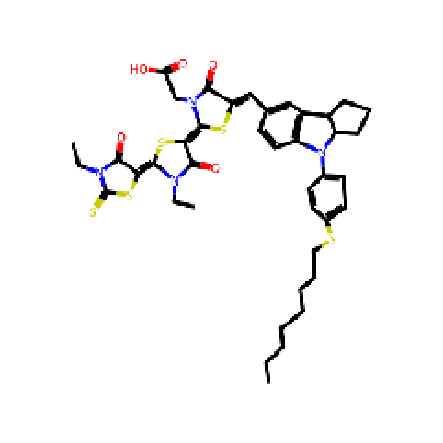 CCCCCCCCSc1ccc(N2c3ccc(/C=c4\s/c(=c5/s/c(=C6/SC(=S)N(CC)C6=O)n(CC)c5=O)n(CC(=O)O)c4=O)cc3C3CCCC32)cc1